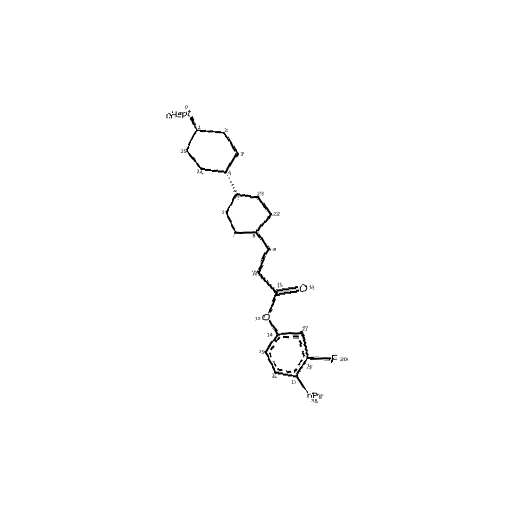 CCCCCCC[C@H]1CC[C@H](C2CCC(CCC(=O)Oc3ccc(CCC)c(F)c3)CC2)CC1